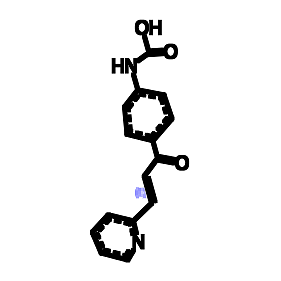 O=C(O)Nc1ccc(C(=O)/C=C/c2ccccn2)cc1